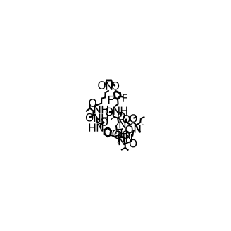 CC[C@H](C)C([C@@H](CC(=O)N1C[C@@H](O)C[C@H]1[C@H](OC)[C@@H](C)C(=O)NCCc1c(F)cccc1F)OC)N(C)C(=O)CNC(=O)C(C(C)C)N(C)C(=O)OCc1ccc(NC(=O)CNC(=O)C(NC(=O)CCCCCN2C(=O)C=CC2=O)C(C)C)cc1